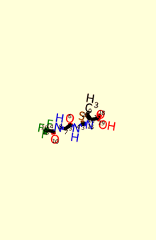 Cc1sc(NC(=O)CNC(=O)C(F)(F)F)nc1C(=O)O